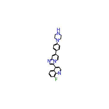 Fc1cccc2c(-c3cnc4cc(-c5ccc(N6CCNCC6)cc5)ccn34)ccnc12